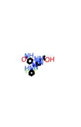 CC(CO)Nc1ncc2nc(Nc3c(F)cccc3F)n([C@H]3CC[C@@H](C(N)=O)CC3)c2n1